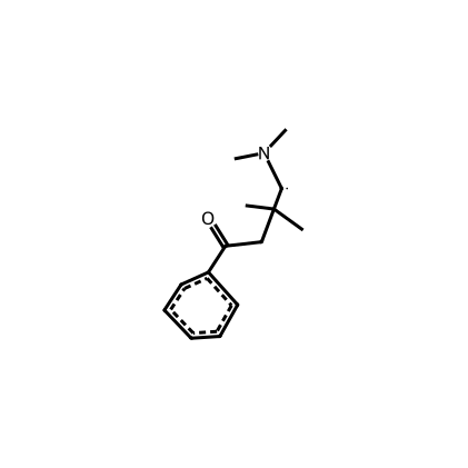 CN(C)[CH]C(C)(C)CC(=O)c1ccccc1